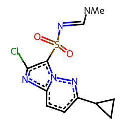 CN/C=N/S(=O)(=O)c1c(Cl)nc2ccc(C3CC3)nn12